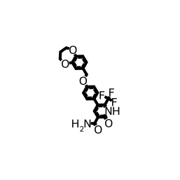 NC(=O)c1cc(-c2ccc(OCc3ccc4c(c3)OCCCO4)cc2)c(C(F)(F)F)[nH]c1=O